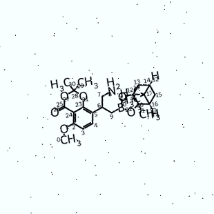 COc1ccc(C(CN)CB2OC3C[C@@H]4C[C@@H](C4(C)C)[C@]3(C)O2)c2c1C(=O)OC(C)(C)O2